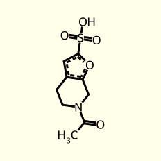 CC(=O)N1CCc2cc(S(=O)(=O)O)oc2C1